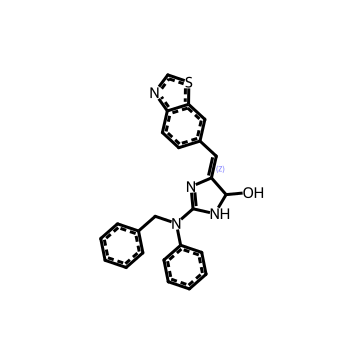 OC1NC(N(Cc2ccccc2)c2ccccc2)=N/C1=C\c1ccc2ncsc2c1